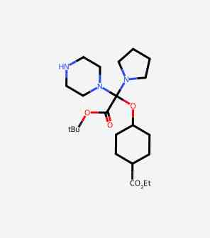 CCOC(=O)C1CCC(OC(C(=O)OC(C)(C)C)(N2CCCC2)N2CCNCC2)CC1